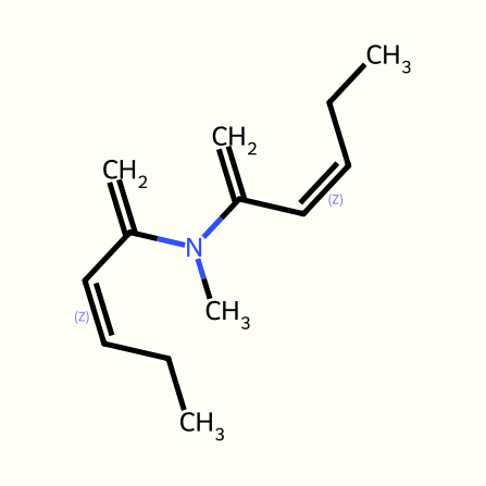 C=C(/C=C\CC)N(C)C(=C)/C=C\CC